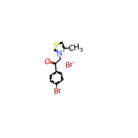 Cc1csc[n+]1CC(=O)c1ccc(Br)cc1.[Br-]